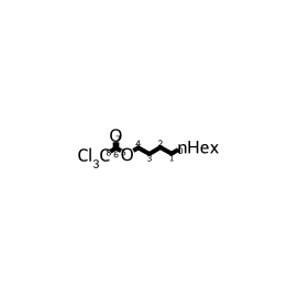 [CH2]CCCCCCCCCOC(=O)C(Cl)(Cl)Cl